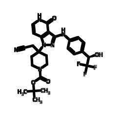 CC(C)(C)OC(=O)N1CCC(CC#N)(n2nc(Nc3ccc([C@@H](O)C(F)(F)F)cc3)c3c(=O)[nH]ccc32)CC1